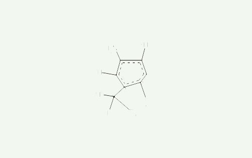 [2H]c1cc(C)c(C(F)(F)F)c([2H])c1N